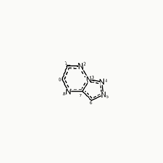 c1cnn2nncc2n1